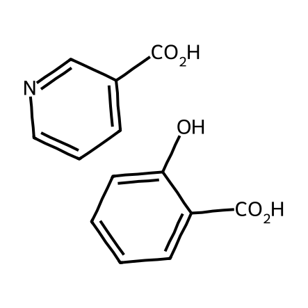 O=C(O)c1ccccc1O.O=C(O)c1cccnc1